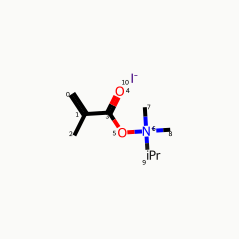 C=C(C)C(=O)O[N+](C)(C)C(C)C.[I-]